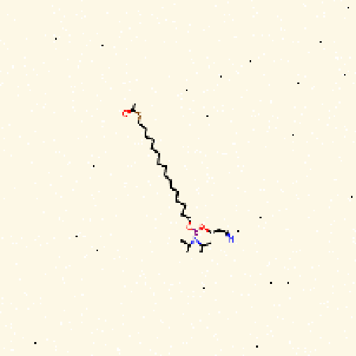 CC(=O)SCCCCCCCCCCCCCCCCOP(OCCC#N)N(C(C)C)C(C)C